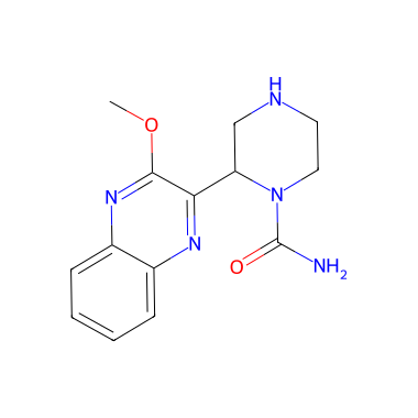 COc1nc2ccccc2nc1C1CNCCN1C(N)=O